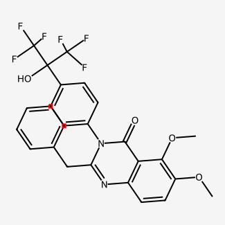 COc1ccc2nc(Cc3ccccc3)n(-c3ccc(C(O)(C(F)(F)F)C(F)(F)F)cc3)c(=O)c2c1OC